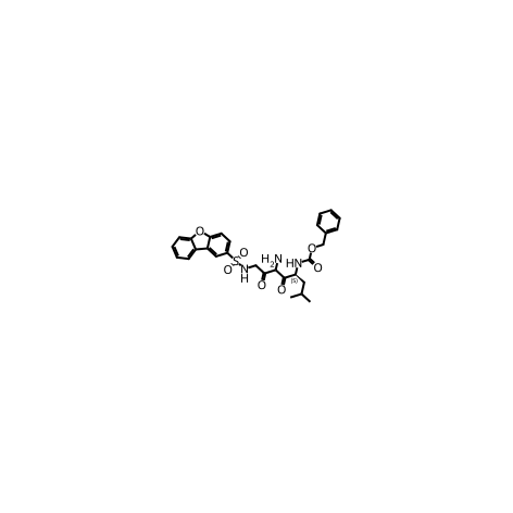 CC(C)C[C@H](NC(=O)OCc1ccccc1)C(=O)C(N)C(=O)CNS(=O)(=O)c1ccc2oc3ccccc3c2c1